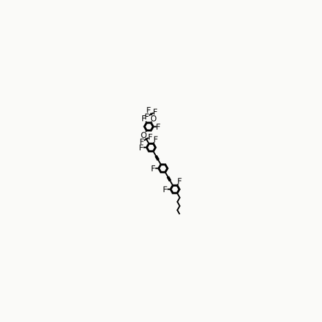 CCCCCc1cc(F)c(C#Cc2ccc(C#Cc3cc(F)c(C(F)(F)Oc4cc(F)c(OC(F)(F)F)c(F)c4)c(F)c3)c(F)c2)c(F)c1